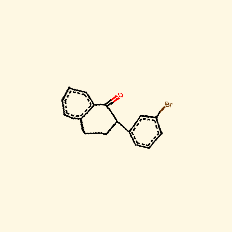 O=C1c2ccccc2CCC1c1cccc(Br)c1